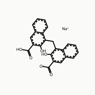 O=C([O-])c1cc2ccccc2c(Cc2c(O)c(C(=O)O)cc3ccccc23)c1O.[Na+]